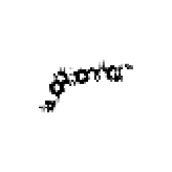 Cc1cc(CC(=O)N/C(C=N)=C/NC(C)(C)C)ccc1Oc1ccnc2ccc(SC3CNC3)cc12